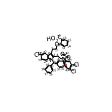 CS(=O)(=O)N(CCc1c(CCOc2ccccc2C(=O)O)c2cc(Cl)ccc2n1C(c1ccccc1)c1ccccc1)c1ccc(Cl)c(Cl)c1